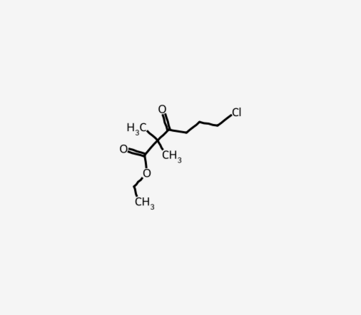 CCOC(=O)C(C)(C)C(=O)CCCCl